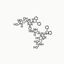 N=C(N[C@@H]1CCN(c2nc(NCC(c3ccccc3)c3ccccc3)c3ncn([C@@H]4C[C@H](NC(=O)CO)[C@@H](O)[C@H]4O)c3n2)C1)N[C@@H]1CCN(c2nc(NCC(c3ccccc3)c3ccccc3)c3ncn([C@@H]4C[C@H](NC(=O)CO)[C@@H](O)[C@H]4O)c3n2)C1